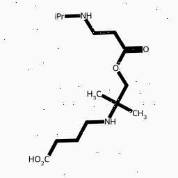 CC(C)NCCC(=O)OCC(C)(C)NCCCC(=O)O